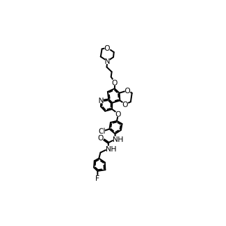 O=C(NCc1ccc(F)cc1)Nc1ccc(Oc2ccnc3cc(OCCCN4CCOCC4)c4c(c23)OCCO4)cc1Cl